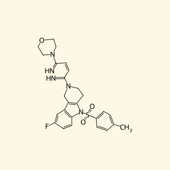 Cc1ccc(S(=O)(=O)n2c3c(c4cc(F)ccc42)CN(C(=N)/C=C\C(=N)N2CCOCC2)CC3)cc1